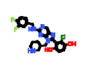 Oc1ccc(O)c(-c2nc3cnc(NCc4ccc(F)c(F)c4)nc3n2C[C@@H]2CCCNC2)c1Cl